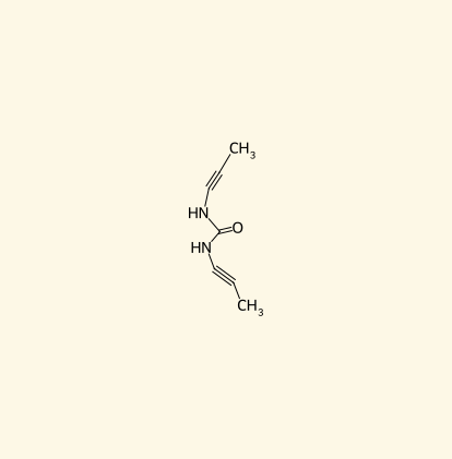 CC#CNC(=O)NC#CC